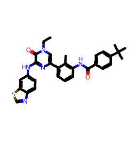 CCn1cc(-c2cccc(NC(=O)c3ccc(C(C)(C)C)cc3)c2C)nc(Nc2ccc3ncsc3c2)c1=O